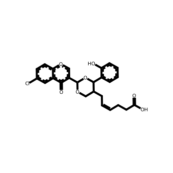 O=C(O)CC/C=C\CC1COC(c2coc3ccc(Cl)cc3c2=O)OC1c1ccccc1O